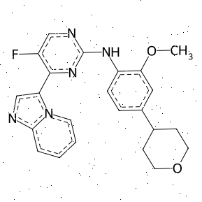 COc1cc(C2CCOCC2)ccc1Nc1ncc(F)c(-c2cnc3ccccn23)n1